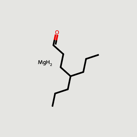 CCCC(CCC)CCC=O.[MgH2]